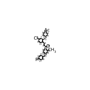 CC(=O)N1CCN(Cc2cc(Cl)ccc2/C=C/C(=O)N2CCN(Cc3ccc(F)cc3)CC2C)CC1